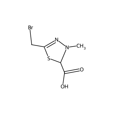 CN1N=C(CBr)SC1C(=O)O